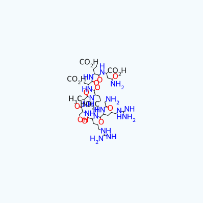 CC(NC(=O)C(CO)NC(=O)C(CCCNC(=N)N)NC(=O)C(CCCNC(=N)N)NC(=O)CN)C(=O)NC(CCC(=O)O)C(=O)NC(CC(=O)O)C(=O)NC(CCC(=O)O)C(=O)NC(CC(N)=O)C(=O)O